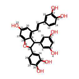 Oc1cc(O)cc(C2c3c(/C=C/c4ccc(O)c(O)c4)cc(O)cc3OC2c2ccc(O)c(O)c2)c1